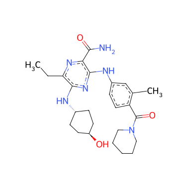 CCc1nc(C(N)=O)c(Nc2ccc(C(=O)N3CCCCC3)c(C)c2)nc1N[C@H]1CC[C@H](O)CC1